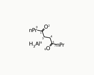 CCCC(=O)CCC(=O)CCC.[AlH3]